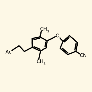 CC(=O)CCc1cc(C)c(Oc2ccc(C#N)cc2)cc1C